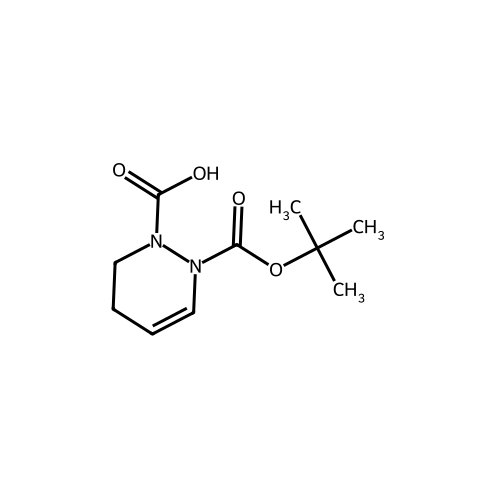 CC(C)(C)OC(=O)N1C=CCCN1C(=O)O